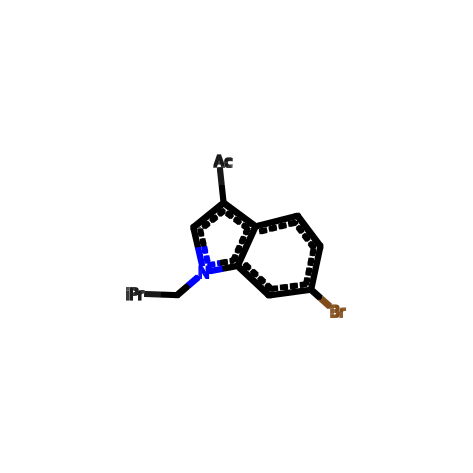 CC(=O)c1cn(CC(C)C)c2cc(Br)ccc12